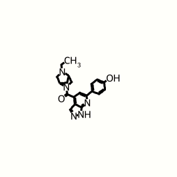 CCN1CC2CC1CN2C(=O)c1cc(-c2ccc(O)cc2)nc2[nH]ncc12